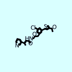 CC(=O)c1csc(-c2cc(Cl)c3c(c2)CC(CNC(=O)/C=C(\C)c2cccnc2)O3)c1